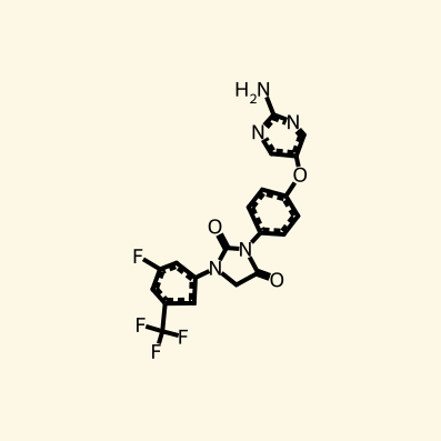 Nc1ncc(Oc2ccc(N3C(=O)CN(c4cc(F)cc(C(F)(F)F)c4)C3=O)cc2)cn1